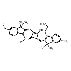 COCC[N+]1=C(/C=C2/C(=O)C(/C=C3\N(CC(C)C)c4ccc(CF)cc4C3(C)C)=C2O)C(C)(C)c2cc(C(F)(F)F)ccc21